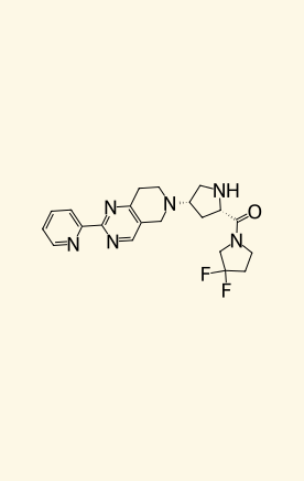 O=C([C@@H]1C[C@H](N2CCc3nc(-c4ccccn4)ncc3C2)CN1)N1CCC(F)(F)C1